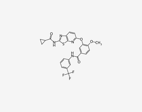 COc1ccc(C(=O)Nc2cccc(C(F)(F)F)c2)cc1Oc1ccc2nc(NC(=O)C3CC3)sc2n1